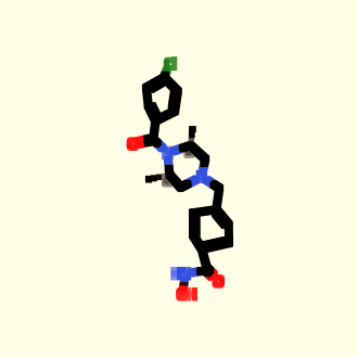 C[C@@H]1CN(Cc2ccc(C(=O)NO)cc2)C[C@H](C)N1C(=O)c1ccc(Cl)cc1